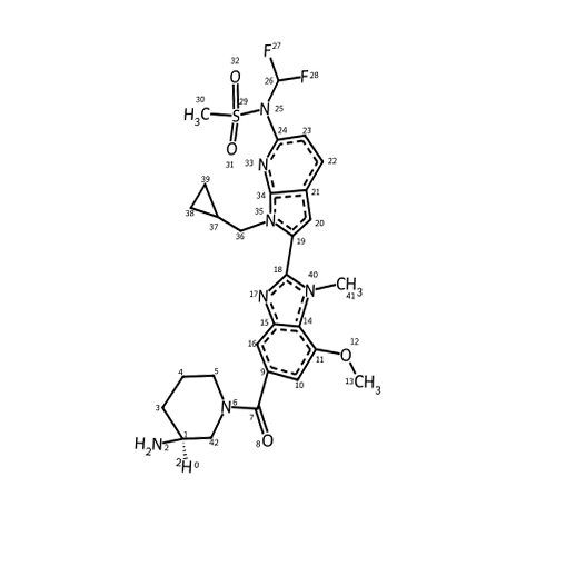 [2H][C@]1(N)CCCN(C(=O)c2cc(OC)c3c(c2)nc(-c2cc4ccc(N(C(F)F)S(C)(=O)=O)nc4n2CC2CC2)n3C)C1